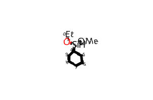 CCO[SiH](OC)C1CCCCC1